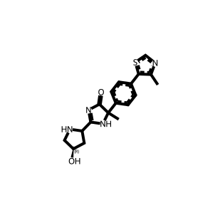 Cc1ncsc1-c1ccc(C2(C)NC(C3C[C@@H](O)CN3)=NC2=O)cc1